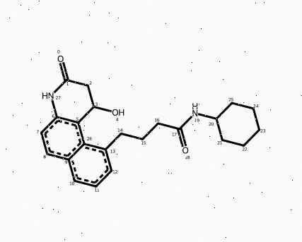 O=C1CC(O)c2c(ccc3cccc(CCCC(=O)NC4CCCCC4)c23)N1